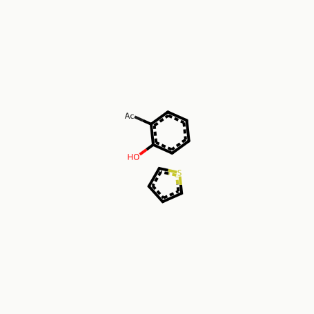 CC(=O)c1ccccc1O.c1ccsc1